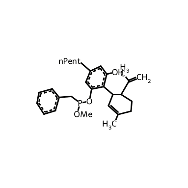 C=C(C)C1CCC(C)=CC1c1c(O)cc(CCCCC)cc1OP(Cc1ccccc1)OC